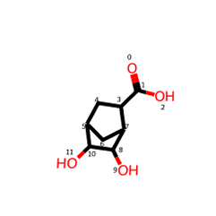 O=C(O)C1CC2CC1C(O)C2O